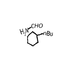 CCCCC1CCCCC1.NC=O